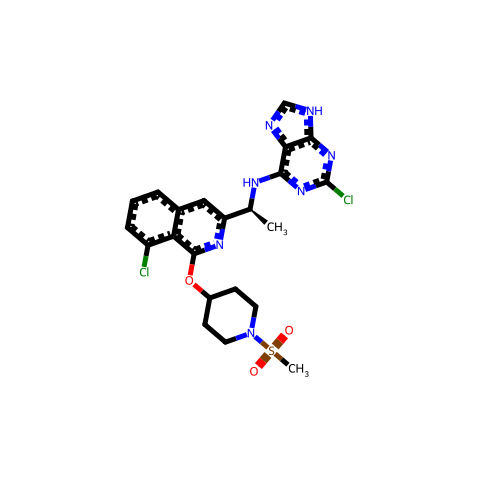 C[C@H](Nc1nc(Cl)nc2[nH]cnc12)c1cc2cccc(Cl)c2c(OC2CCN(S(C)(=O)=O)CC2)n1